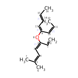 C=C/C(=C\C=C(C)C)OC(/C=C\C)=C/C=C/C